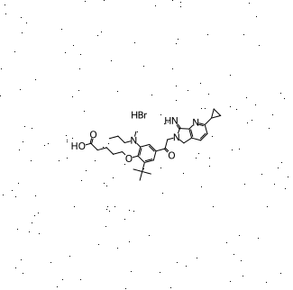 Br.CCCN(C)c1cc(C(=O)CN2Cc3ccc(C4CC4)nc3C2=N)cc(C(C)(C)C)c1OCCCCC(=O)O